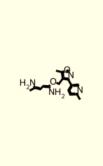 C/C(N)=C/C=C(\N)OCc1c(-c2ccc(C)nc2)noc1C